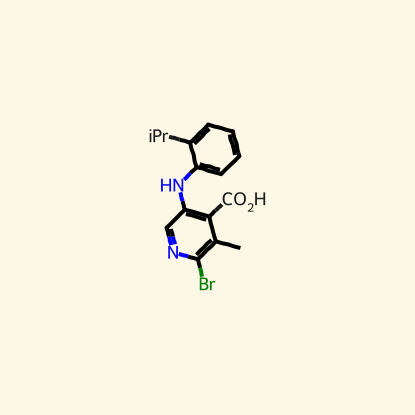 Cc1c(Br)ncc(Nc2ccccc2C(C)C)c1C(=O)O